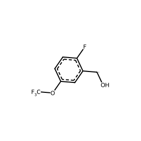 O[CH]c1cc(OC(F)(F)F)ccc1F